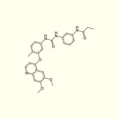 CCC(=O)Nc1cccc(NC(=O)Nc2ccc(C)c(Oc3ccnc4cc(OC)c(OC)cc34)c2)c1